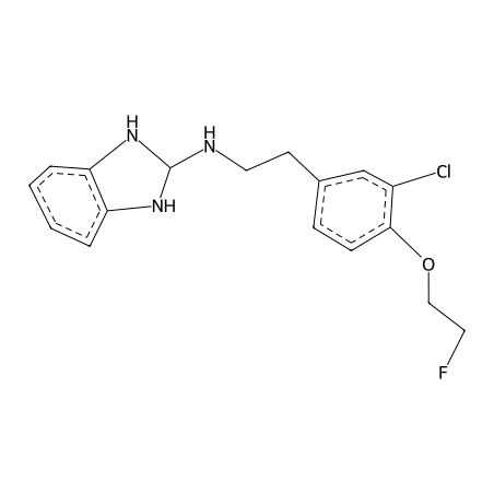 FCCOc1ccc(CCNC2Nc3ccccc3N2)cc1Cl